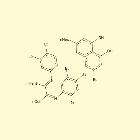 CCCCCCCCC(=Nc1ccc(CC)c(CC)c1)C(CCCCC)=Nc1ccc(CC)c(CC)c1.CCCCCCc1cc(O)c2c(O)cc(CC)cc2c1.[Ni]